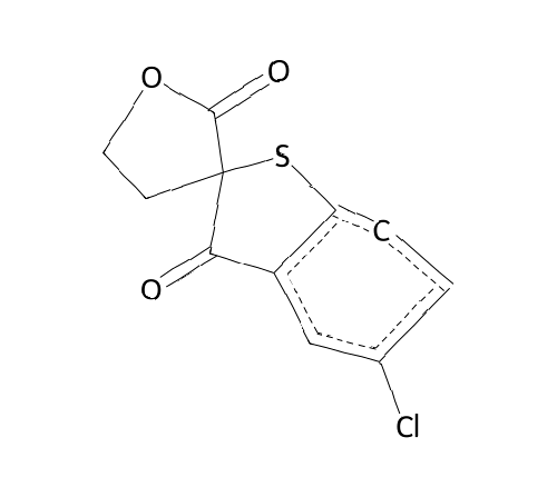 O=C1OCCC12Sc1ccc(Cl)cc1C2=O